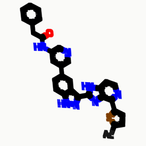 CC(=O)c1ccc(-c2nccc3[nH]c(-c4n[nH]c5ccc(-c6cncc(NC(=O)Cc7ccccc7)c6)cc45)nc23)s1